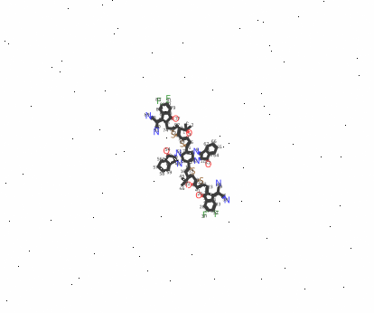 CC1(C)Oc2cc(-c3c4nc5c(nc4c(-c4cc6c(s4)-c4sc(/C=C7\C(=O)c8cc(F)c(F)cc8C7=C(C#N)C#N)cc4OC6(C)C)c4nc6c(nc34)c(=O)c3ccccc36)c(=O)c3ccccc35)sc2-c2sc(CC3C(=O)c4cc(F)c(F)cc4C3=C(C#N)C#N)cc21